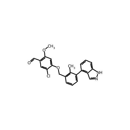 COc1cc(OCc2cccc(-c3cccc4[nH]ncc34)c2C)c(Cl)cc1C=O